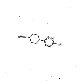 CCCCCCC1CCC(c2ccc(CCC)nn2)CC1